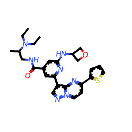 CCN(CC)C(C)CNC(=O)c1cc(NC2COC2)nc(-c2cnn3ccc(-c4cccs4)nc23)c1